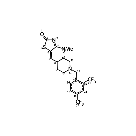 CNC1=NC(=O)SC1=CC1CCN(Cc2ccc(C(F)(F)F)cc2C(F)(F)F)CC1